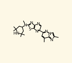 Cc1cn2nc(-c3cnc4nc(N(C)C5CC(C)(C)NC(C)(C)C5)sc4n3)cc(C)c2n1